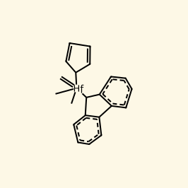 [CH2]=[Hf]([CH3])([CH3])([CH]1C=CC=C1)[CH]1c2ccccc2-c2ccccc21